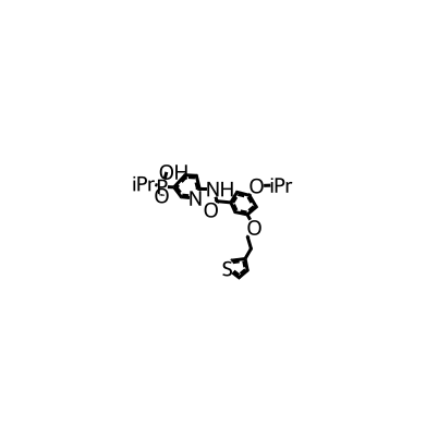 CC(C)Oc1cc(OCCc2ccsc2)cc(C(=O)Nc2ccc(P(=O)(O)C(C)C)cn2)c1